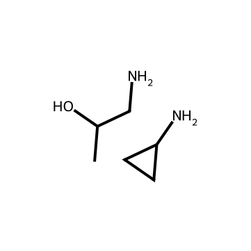 CC(O)CN.NC1CC1